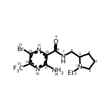 CCN1CCCC1CNC(=O)c1nc(Br)c(C(F)(F)F)nc1N